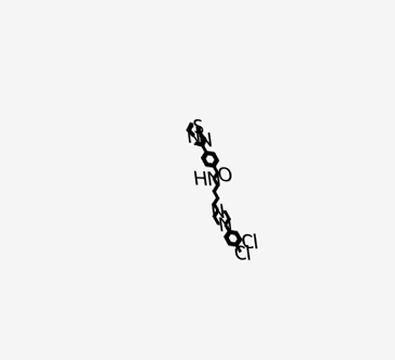 O=C(NCCCCN1CCN(c2ccc(Cl)c(Cl)c2)CC1)c1ccc(-c2cn3ccsc3n2)cc1